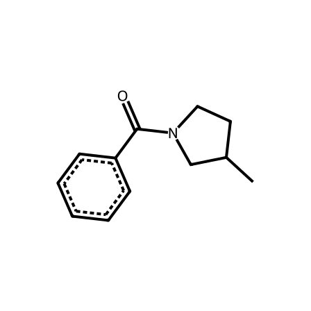 CC1CCN(C(=O)c2ccccc2)C1